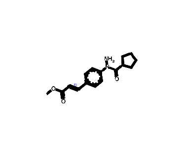 COC(=O)/C=C/c1ccc(N(N)C(=O)C2CCCC2)cc1